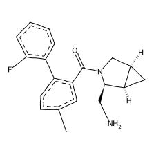 Cc1ccc(-c2ccccc2F)c(C(=O)N2C[C@H]3C[C@H]3[C@H]2CN)c1